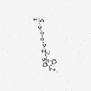 CC/C1=C/c2ccccc2CN(C(=O)CCC(=O)NCCOCCOCCOCCOCCC(=O)O)c2ccccc21